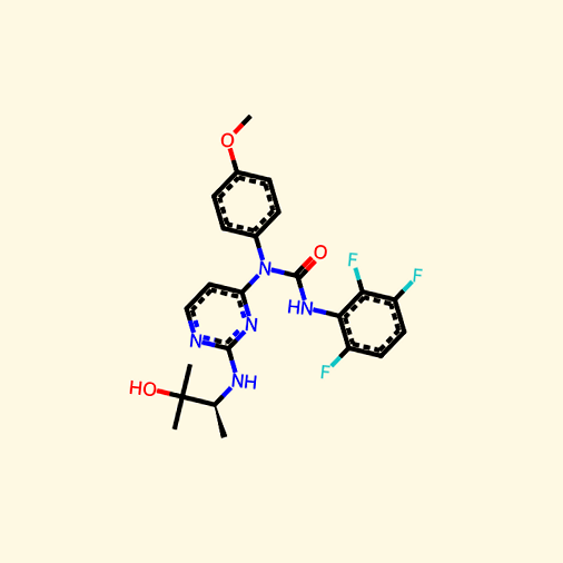 COc1ccc(N(C(=O)Nc2c(F)ccc(F)c2F)c2ccnc(N[C@@H](C)C(C)(C)O)n2)cc1